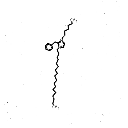 CCCCCCCCCCCCCCCCCC[n+]1ccn(CCCCCCC)c1Cc1ccccc1